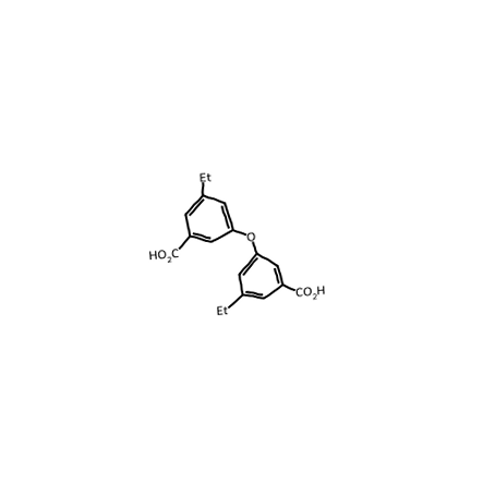 CCc1cc(Oc2cc(CC)cc(C(=O)O)c2)cc(C(=O)O)c1